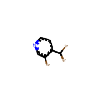 Brc1cnccc1C(Br)Br